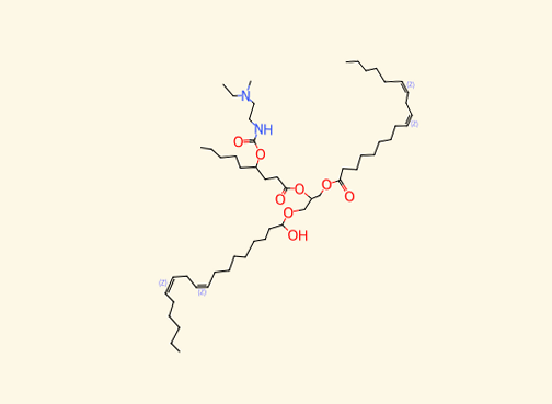 CCCCC/C=C\C/C=C\CCCCCCCC(=O)OCC(COC(O)CCCCCCC/C=C\C/C=C\CCCCC)OC(=O)CCC(CCCCC)OC(=O)NCCN(C)CC